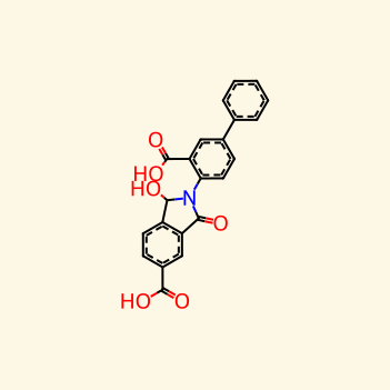 O=C(O)c1ccc2c(c1)C(=O)N(c1ccc(-c3ccccc3)cc1C(=O)O)C2O